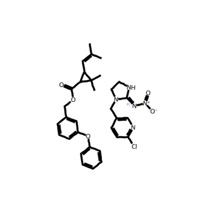 CC(C)=CC1C(C(=O)OCc2cccc(Oc3ccccc3)c2)C1(C)C.O=[N+]([O-])/N=C1\NCCN1Cc1ccc(Cl)nc1